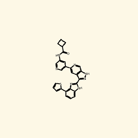 O=C(Nc1cncc(-c2cc3c(-c4nc5c(-c6cccs6)cccc5[nH]4)n[nH]c3cn2)c1)C1CCC1